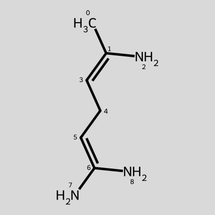 CC(N)=CCC=C(N)N